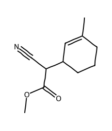 COC(=O)C(C#N)C1C=C(C)CCC1